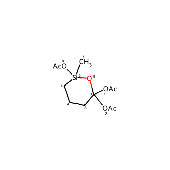 CC(=O)OC1(OC(C)=O)CCC[Si](C)(OC(C)=O)O1